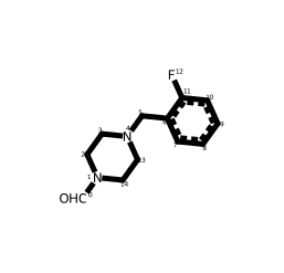 O=CN1CCN(Cc2ccccc2F)CC1